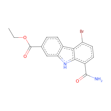 CCOC(=O)c1ccc2c(c1)[nH]c1c(C(N)=O)ccc(Br)c12